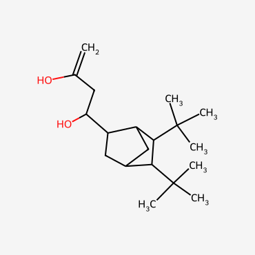 C=C(O)CC(O)C1CC2CC1C(C(C)(C)C)C2C(C)(C)C